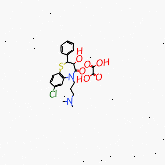 CN(C)CCCN1C(=O)C(O)C(c2ccccc2)Sc2ccc(Cl)cc21.O=C(O)C(=O)O